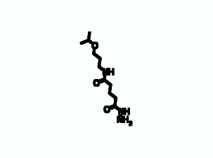 CC(C)OCCCNC(=O)CCCC(=O)NN